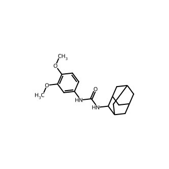 COc1ccc(NC(=O)NC2C3CC4CC(C3)CC2C4)cc1OC